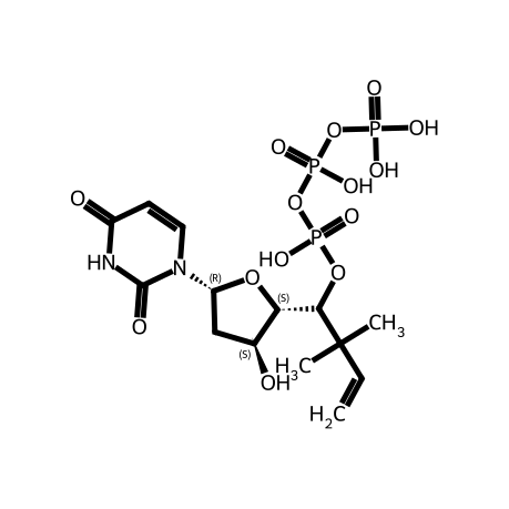 C=CC(C)(C)C(OP(=O)(O)OP(=O)(O)OP(=O)(O)O)[C@H]1O[C@@H](n2ccc(=O)[nH]c2=O)C[C@@H]1O